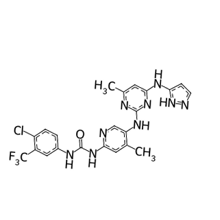 Cc1cc(Nc2ccn[nH]2)nc(Nc2cnc(NC(=O)Nc3ccc(Cl)c(C(F)(F)F)c3)cc2C)n1